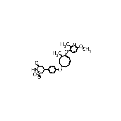 C=C1CC[C@@H](Oc2ccc(C3CC(=O)NS(=O)(=O)C3)cc2)C/C=C\C=C/1Oc1ccc(OC)nc1C